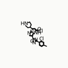 Cc1ccc(-c2noc(-c3cnn4c(C5CCNCC5)cc(=O)[nH]c34)n2)c(Cl)c1.Cl